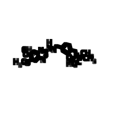 COc1cc2ncc(NN=Cc3ccc(CN(C(=O)O)C(C)(C)C)cc3)nc2cc1OC